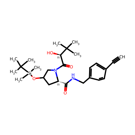 C#Cc1ccc(CNC(=O)[C@@H]2CC(O[Si](C)(C)C(C)(C)C)CN2C(=O)[C@@H](O)C(C)(C)C)cc1